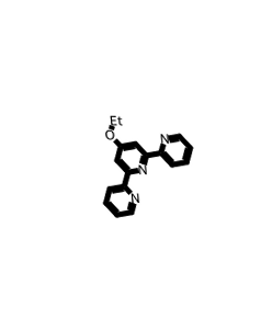 CCOc1cc(-c2ccccn2)nc(-c2ccccn2)c1